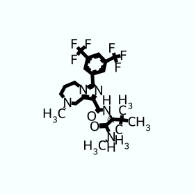 CNC(=O)[C@@H](NC(=O)c1nc(-c2cc(C(F)(F)F)cc(C(F)(F)F)c2)n2c1CN(C)CCC2)C(C)(C)C